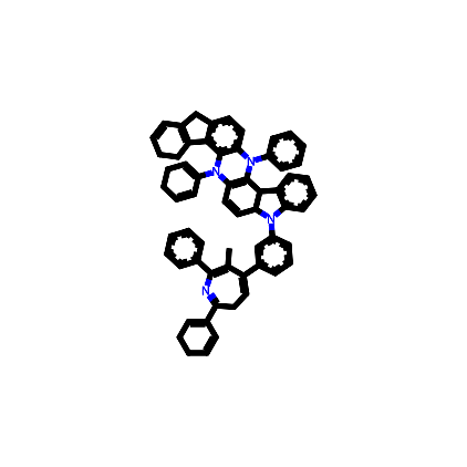 CC1=C(c2ccccc2)N=C(C2=CCCC=C2)CC=C1c1cccc(N2c3ccccc3C3C4=C(C=CC32)N(C2=CCCC=C2)c2c(ccc3c2C2=C(C=CCC2)C3)N4c2ccccc2)c1